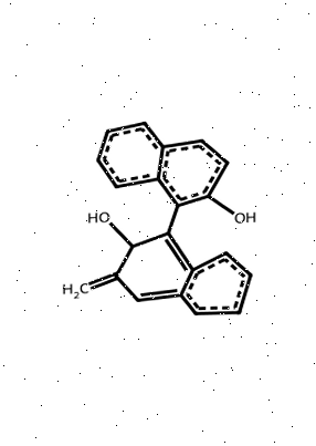 C=C1C=c2ccccc2=C(c2c(O)ccc3ccccc23)C1O